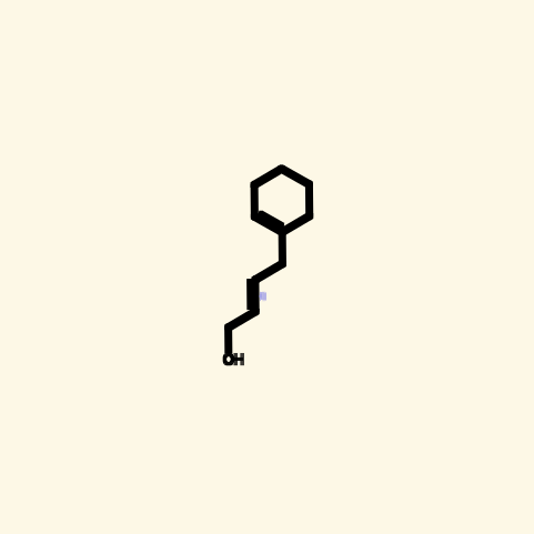 OC/C=C/CC1=CCCCC1